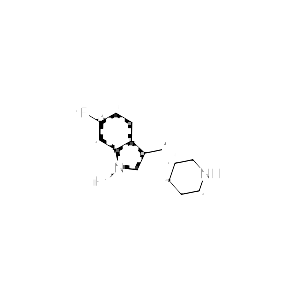 CC(C)n1cc(C[C@H]2CCCNC2)c2ccc(F)cc21